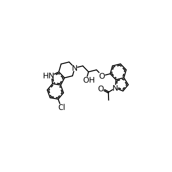 CC(=O)n1ccc2cccc(OCC(O)CN3CCc4[nH]c5ccc(Cl)cc5c4C3)c21